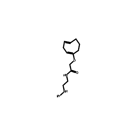 CC(C)NCCNC(=O)CO/C1=C/C/C=C/CCC1